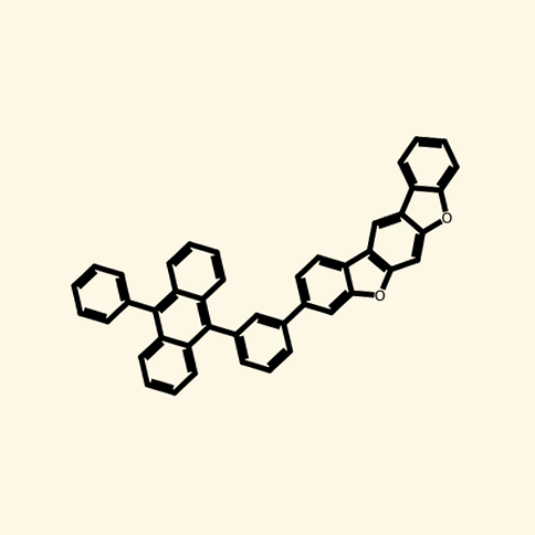 c1ccc(-c2c3ccccc3c(-c3cccc(-c4ccc5c(c4)oc4cc6oc7ccccc7c6cc45)c3)c3ccccc23)cc1